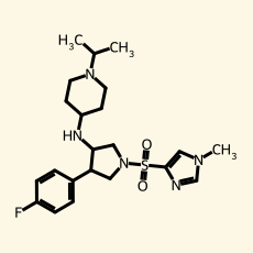 CC(C)N1CCC(NC2CN(S(=O)(=O)c3cn(C)cn3)CC2c2ccc(F)cc2)CC1